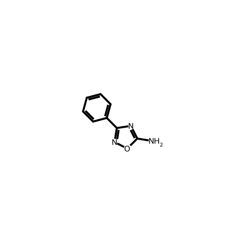 Nc1nc(-c2ccccc2)no1